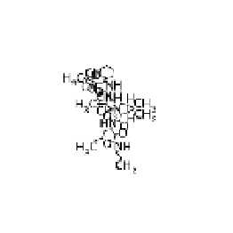 C=CCNC(=O)C(=O)C(CCCC)NC(=O)[C@@H]1[C@@H]2[C@H](CN1C(=O)[C@@H](NC(=O)NC1(CS(=O)(=O)C(C)(C)C)CCCCC1)C(C)(C)C)C2(C)C